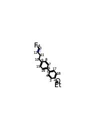 CCOc1ccc(-c2ccc(CC/C=C/F)cc2)cc1